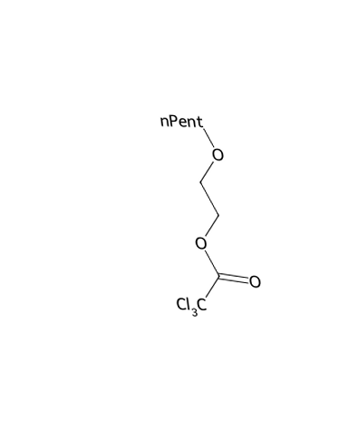 CCCCCOCCOC(=O)C(Cl)(Cl)Cl